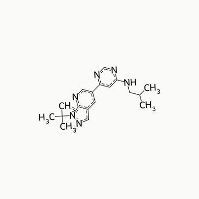 CC(C)CNc1cc(-c2cnc3c(cnn3C(C)(C)C)c2)ncn1